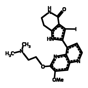 COc1cc2nccc(-c3[nH]c4c(c3I)C(=O)NCC4)c2nc1OCCN(C)C